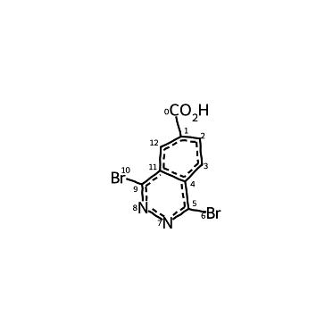 O=C(O)c1ccc2c(Br)nnc(Br)c2c1